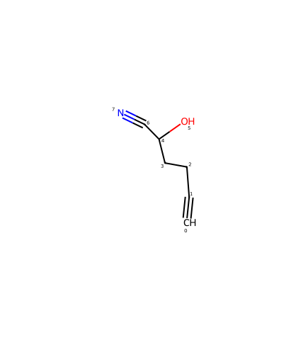 C#CCCC(O)C#N